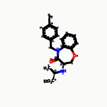 CCOC(=O)[C@H](C)N[C@H]1COc2ccccc2N(Cc2ccc(C(C)C)cc2)C1=O